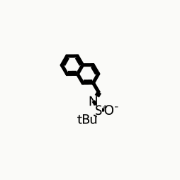 CC(C)(C)[S+]([O-])N=Cc1ccc2ccccc2c1